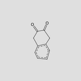 O=C1Cc2ccccc2CC1=O